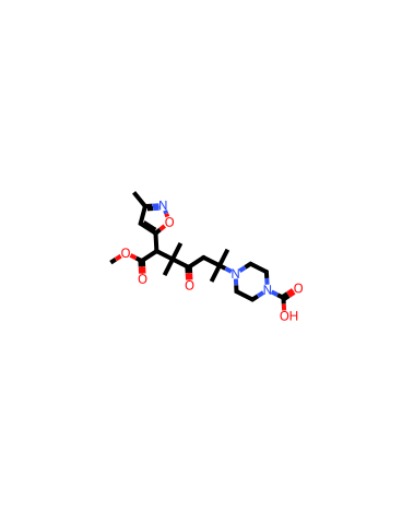 COC(=O)C(c1cc(C)no1)C(C)(C)C(=O)CC(C)(C)N1CCN(C(=O)O)CC1